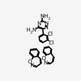 C1=Cc2ccccc2ON=C1.C1=Cc2ccccc2ON=C1.Nc1nnc(-c2cccc(Cl)c2Cl)c(N)n1